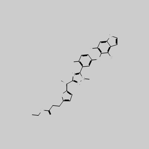 CCOC(=O)CCc1ccc([C@@H](C)c2nc(-c3cc(Oc4c(F)cc5[nH]ccc5c4F)ccc3F)n(C)n2)s1